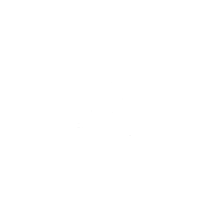 C=C(Cl)C(=O)OCC.[K]